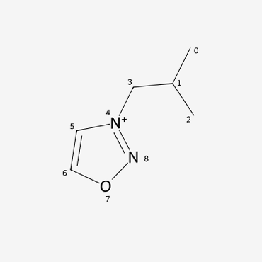 CC(C)C[n+]1ccon1